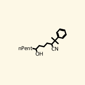 CCCCCC(O)CCCC(C#N)C(C)(C)c1ccccc1